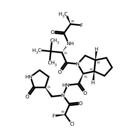 C[C@@H](F)C(=O)N[C@H](C(=O)N1C[C@@H]2CCC[C@@H]2[C@H]1C(=O)NN(C[C@@H]1CCNC1=O)C(=O)[C@H](F)Cl)C(C)(C)C